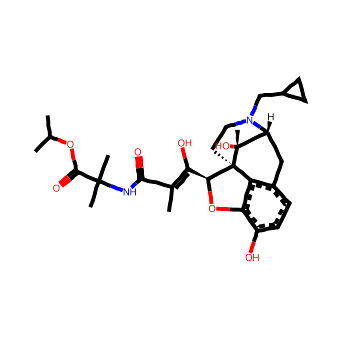 C/C(C(=O)NC(C)(C)C(=O)OC(C)C)=C(/O)[C@@H]1Oc2c(O)ccc3c2[C@@]12CCN(CC1CC1)[C@H](C3)[C@@]2(C)O